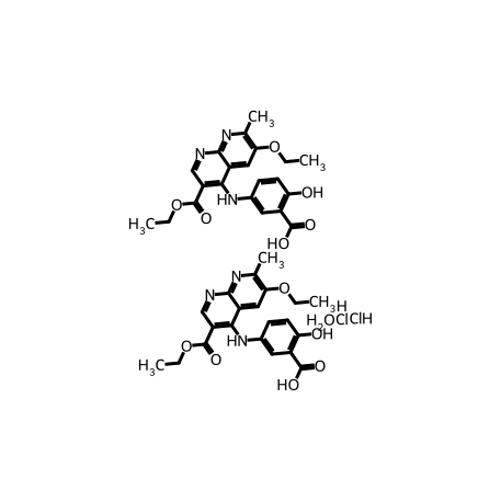 CCOC(=O)c1cnc2nc(C)c(OCC)cc2c1Nc1ccc(O)c(C(=O)O)c1.CCOC(=O)c1cnc2nc(C)c(OCC)cc2c1Nc1ccc(O)c(C(=O)O)c1.Cl.Cl.O